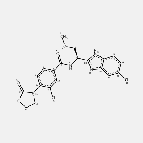 COC[C@H](NC(=O)c1ccc(N2CCOC2=O)c(Cl)c1)c1nc2cc(Cl)ccc2[nH]1